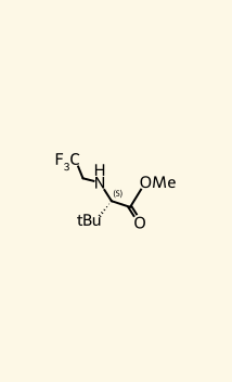 COC(=O)[C@@H](NCC(F)(F)F)C(C)(C)C